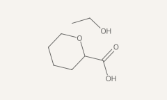 CCO.O=C(O)C1CCCCO1